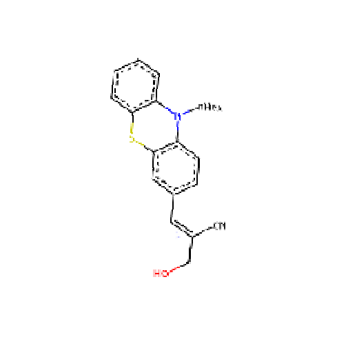 CCCCCCN1c2ccccc2Sc2cc(/C=C(\C#N)CO)ccc21